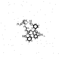 Cc1cccc(C2C(C(=O)c3cccc(O)c3)CN(CCCCN(C)C)CC2c2cc[c]cc2O)c1C